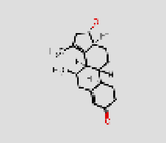 CC[C@]12CC[C@H]3[C@H](C1=C(C)C[C@@H]2O)[C@H](C)CC1=CC(=O)CC[C@@H]13